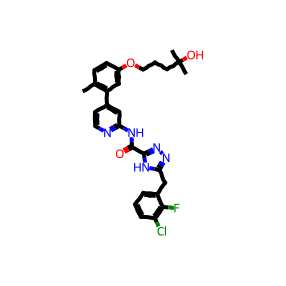 Cc1ccc(OCCCC(C)(C)O)cc1-c1ccnc(NC(=O)c2nnc(Cc3cccc(Cl)c3F)[nH]2)c1